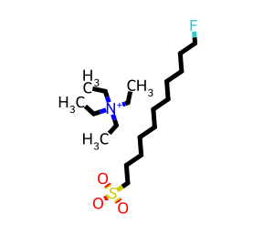 CC[N+](CC)(CC)CC.O=S(=O)([O-])CCCCCCCCCCCF